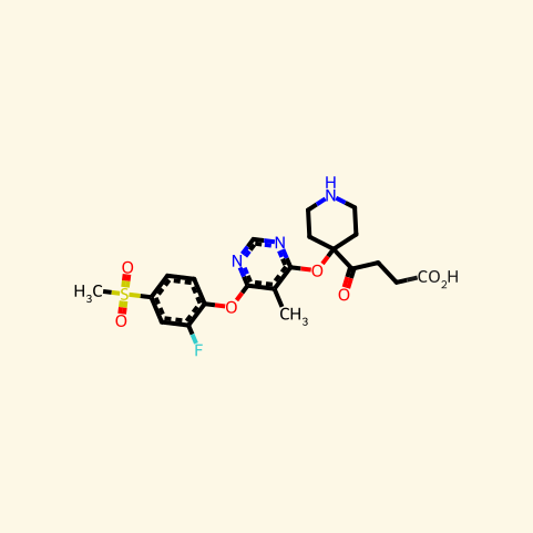 Cc1c(Oc2ccc(S(C)(=O)=O)cc2F)ncnc1OC1(C(=O)CCC(=O)O)CCNCC1